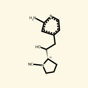 N#CN1CCC[C@H]1C(O)Cc1ccnc(N)c1